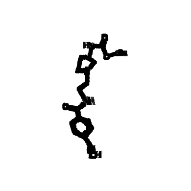 C#Cc1ccc(C(=O)NCCN2CCC(NC(=O)OC(C)(C)C)C2)cc1